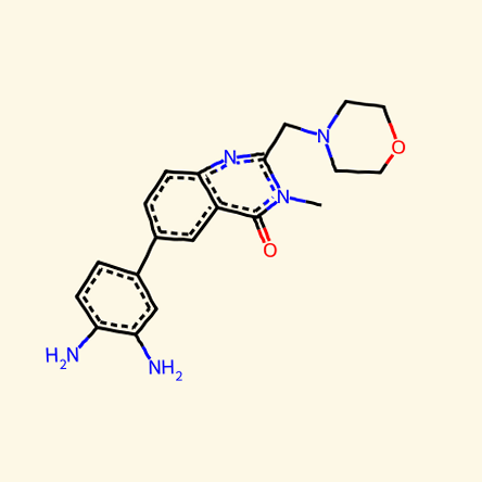 Cn1c(CN2CCOCC2)nc2ccc(-c3ccc(N)c(N)c3)cc2c1=O